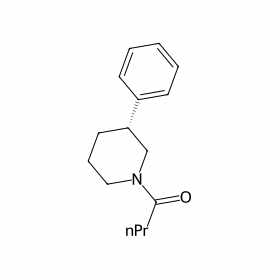 CCCC(=O)N1CCC[C@H](c2ccccc2)C1